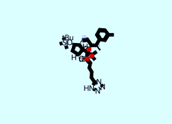 Cc1cccc([C@@H](C)[C@@H](/C=C\[C@@H]2[C@@H]3[C@H](C[C@H]2O[Si](C)(C)C(C)(C)C)OC(=CCCCc2nnn[nH]2)C3(F)F)O[Si](C)(C)C(C)(C)C)c1